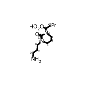 CC(C)C(C(=O)O)N1CCCN(CCCN)C1=O